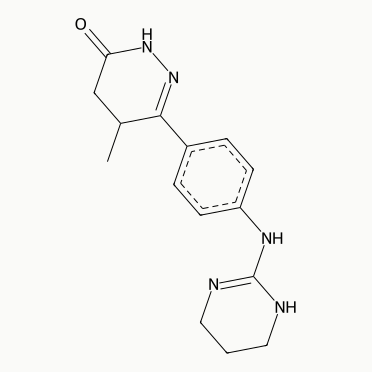 CC1CC(=O)NN=C1c1ccc(NC2=NCCCN2)cc1